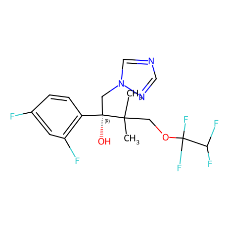 CC(C)(COC(F)(F)C(F)F)[C@](O)(Cn1cncn1)c1ccc(F)cc1F